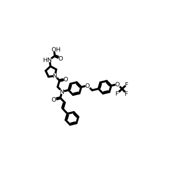 O=C(O)NC1CCN(C(=O)CN(C(=O)C=Cc2ccccc2)c2ccc(OCc3ccc(OC(F)(F)F)cc3)cc2)C1